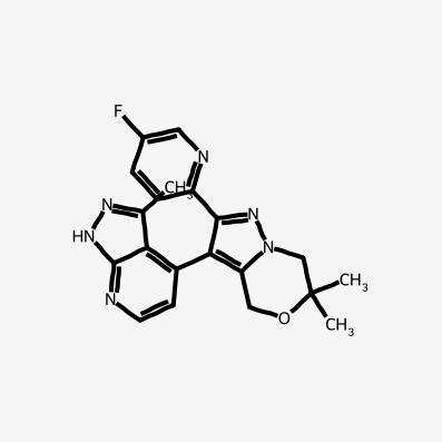 Cc1n[nH]c2nccc(-c3c(-c4ccc(F)cn4)nn4c3COC(C)(C)C4)c12